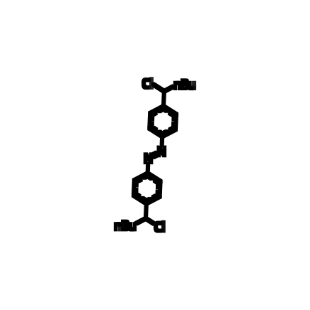 CCCCC(Cl)c1ccc(/N=N/c2ccc(C(Cl)CCCC)cc2)cc1